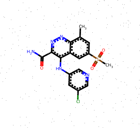 Cc1cc(S(C)(=O)=O)cc2c(Nc3cncc(Cl)c3)c(C(N)=O)nnc12